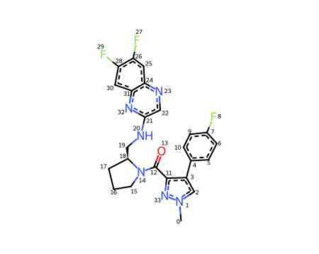 Cn1cc(-c2ccc(F)cc2)c(C(=O)N2CCC[C@H]2CNc2cnc3cc(F)c(F)cc3n2)n1